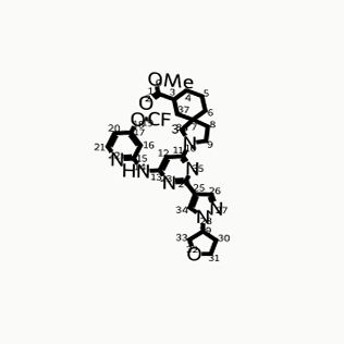 COC(=O)C1CCCC2(CCN(c3cc(Nc4cc(OC(F)(F)F)ccn4)nc(-c4cnn(C5CCOC5)c4)n3)C2)C1